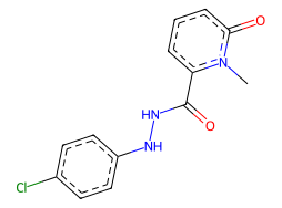 Cn1c(C(=O)NNc2ccc(Cl)cc2)cccc1=O